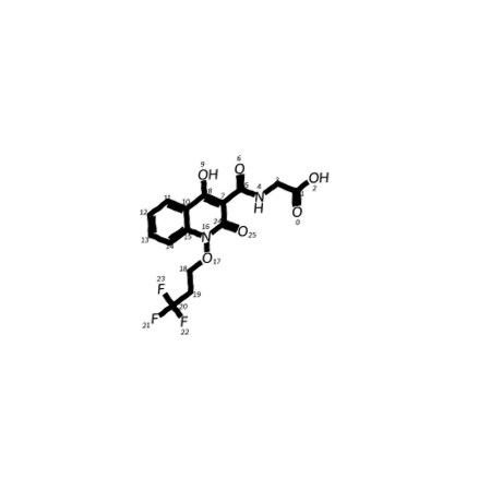 O=C(O)CNC(=O)c1c(O)c2ccccc2n(OCCC(F)(F)F)c1=O